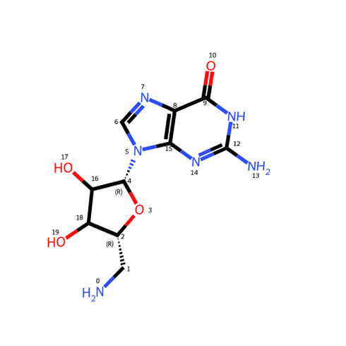 NC[C@H]1O[C@@H](n2cnc3c(=O)[nH]c(N)nc32)C(O)C1O